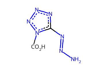 NN=Nc1nnnn1C(=O)O